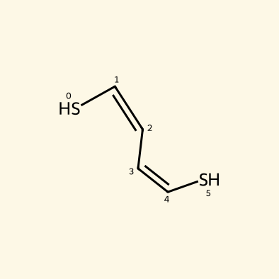 S/C=C\C=C/S